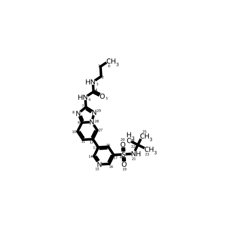 CCCNC(=O)Nc1nc2ccc(-c3cncc(S(=O)(=O)NC(C)(C)C)c3)cn2n1